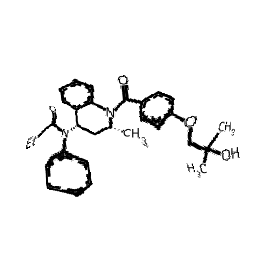 CCC(=O)N(c1ccccc1)[C@H]1C[C@@H](C)N(C(=O)c2ccc(OCC(C)(C)O)cc2)c2ccccc21